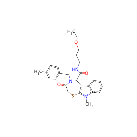 CCOCCCNC(=O)C1c2c(n(C)c3ccccc23)SCC(=O)N1Cc1ccc(C)cc1